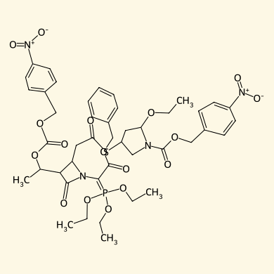 CCOC1CC(SC(=O)CC2C(C(C)OC(=O)OCc3ccc([N+](=O)[O-])cc3)C(=O)N2C(C(=O)OCc2ccccc2)=P(OCC)(OCC)OCC)CN1C(=O)OCc1ccc([N+](=O)[O-])cc1